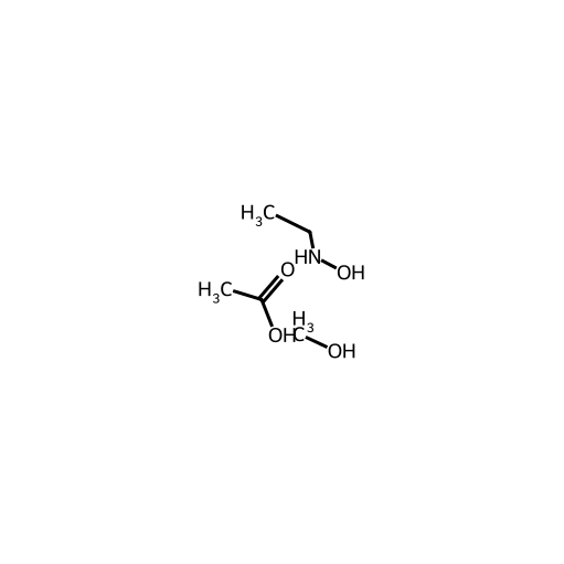 CC(=O)O.CCNO.CO